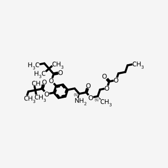 CCCCOC(=O)OC[C@H](C)OC(=O)[C@@H](N)Cc1ccc(OC(=O)C(C)(C)CC)c(OC(=O)C(C)(C)CC)c1